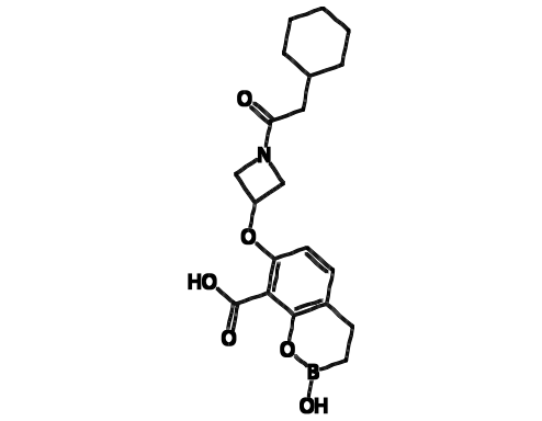 O=C(O)c1c(OC2CN(C(=O)CC3CCCCC3)C2)ccc2c1OB(O)CC2